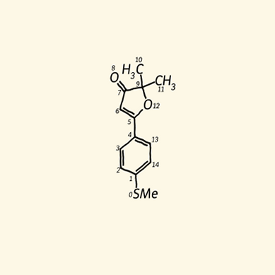 CSc1ccc(C2=CC(=O)C(C)(C)O2)cc1